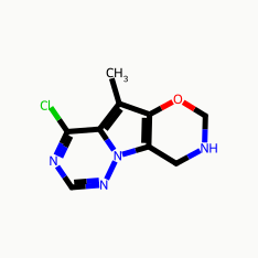 Cc1c2c(n3ncnc(Cl)c13)CNCO2